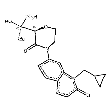 CC(C)(C)[C@](O)(C(=O)O)[C@H]1OCCN(c2ccc3ccc(=O)n(CC4CC4)c3c2)C1=O